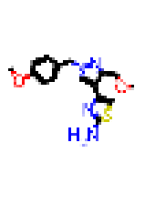 COCc1nn(Cc2ccc(OC)cc2)cc1-c1csc(N)n1